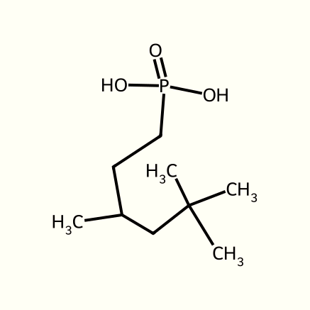 CC(CCP(=O)(O)O)CC(C)(C)C